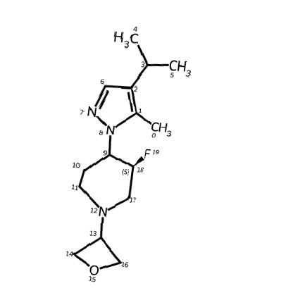 Cc1c(C(C)C)cnn1C1CCN(C2COC2)C[C@@H]1F